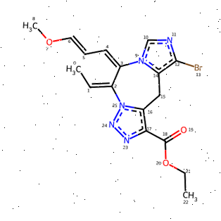 C\C=C1/C(=C\C=C\OC)n2cnc(Br)c2Cc2c(C(=O)OCC)nnn21